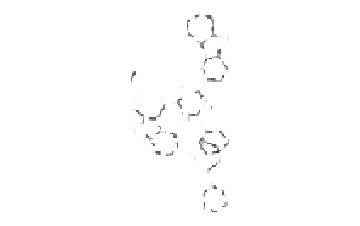 C=CC/C=c1/oc2ccc(C3C=CC=C(c4ccccc4)C3)cc2/c1=C(/C)c1nc(-c2ccccc2)nc(-c2ccc3oc4ccccc4c3c2)n1